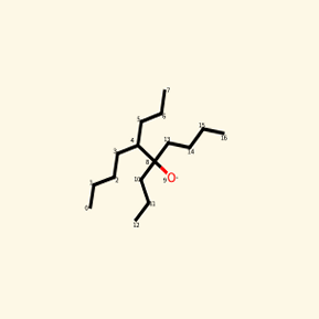 CCCCC(CCC)C([O])(CCC)CCCC